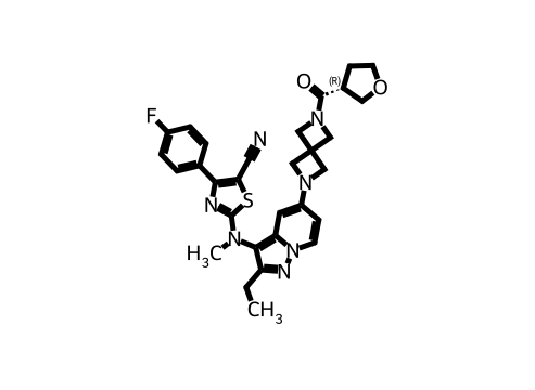 CCc1nn2ccc(N3CC4(CN(C(=O)[C@@H]5CCOC5)C4)C3)cc2c1N(C)c1nc(-c2ccc(F)cc2)c(C#N)s1